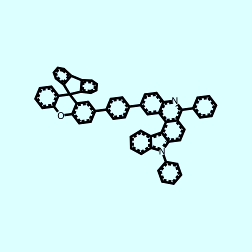 c1ccc(-c2nc3ccc(-c4ccc(-c5ccc6c(c5)C5(c7ccccc7O6)c6ccccc6-c6ccccc65)cc4)cc3c3c2ccc2c3c3ccccc3n2-c2ccccc2)cc1